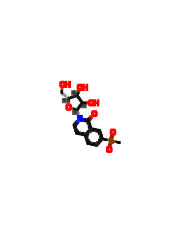 CS(=O)(=O)c1ccc2ccn([C@@H]3O[C@H](CO)[C@@H](O)[C@H]3O)c(=O)c2c1